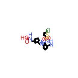 N#Cc1cccc2c1c(NS(=O)(=O)c1ccc(Cl)s1)nn2Cc1cccc(CNC(=O)O)c1